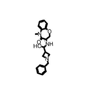 CN1C(=O)[C@@H](NC(O)C2CN(Cc3ccccc3)C2)COc2ccccc21